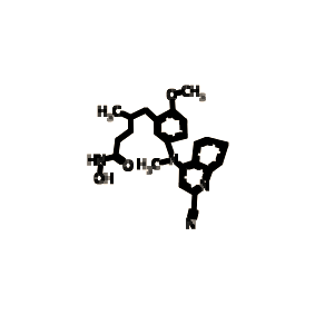 COc1ccc(N(C)c2cc(C#N)nc3ccccc23)cc1CC(C)CCC(=O)NO